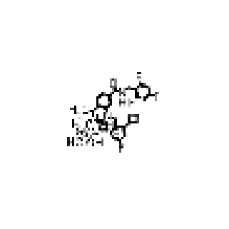 C=C1N(Cc2c(OCOP(=O)(O)O)cc(F)cc2C2CCC2)c2cc(C(=O)NCc3c(F)cc(F)cc3F)ccc2C(C)N1C